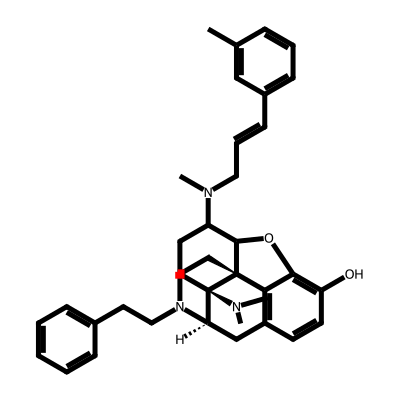 Cc1cccc(/C=C/CN(C)C2CC[C@@]3(N(C)C)[C@H]4Cc5ccc(O)c6c5[C@@]3(CCN4CCc3ccccc3)C2O6)c1